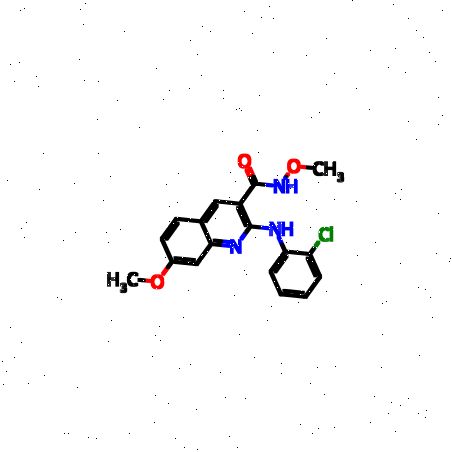 CONC(=O)c1cc2ccc(OC)cc2nc1Nc1ccccc1Cl